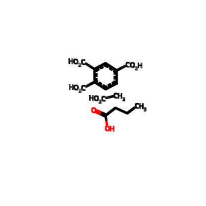 CC(=O)O.CCCC(=O)O.O=C(O)c1ccc(C(=O)O)c(C(=O)O)c1